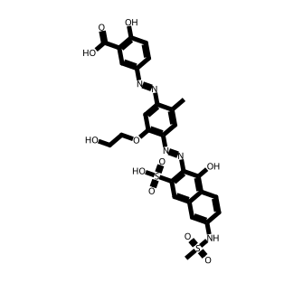 Cc1cc(/N=N/c2c(S(=O)(=O)O)cc3cc(NS(C)(=O)=O)ccc3c2O)c(OCCO)cc1/N=N/c1ccc(O)c(C(=O)O)c1